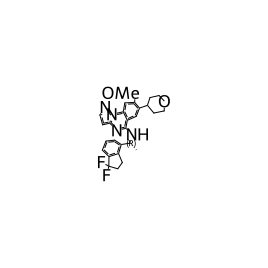 COc1cc2c(cc1C1CCOCC1)c(N[C@H](C)c1cccc3c1CCC3(F)F)nc1ccnn12